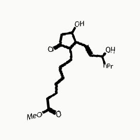 CCCC(O)/C=C/C1C(O)CC(=O)C1CCCCCCC(=O)OC